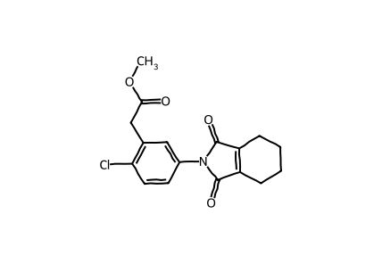 COC(=O)Cc1cc(N2C(=O)C3=C(CCCC3)C2=O)ccc1Cl